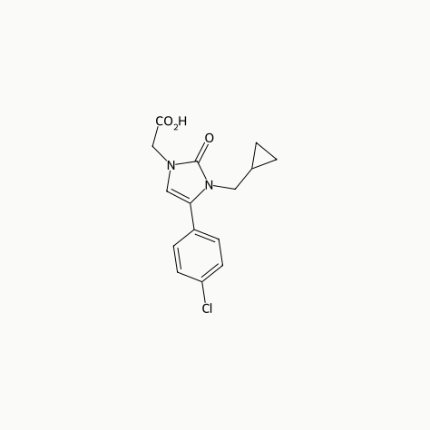 O=C(O)Cn1cc(-c2ccc(Cl)cc2)n(CC2CC2)c1=O